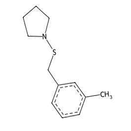 Cc1cccc(CSN2CCCC2)c1